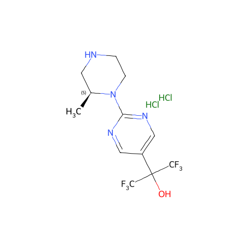 C[C@H]1CNCCN1c1ncc(C(O)(C(F)(F)F)C(F)(F)F)cn1.Cl.Cl